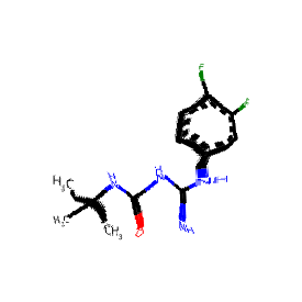 CC(C)(C)NC(=O)NC(=N)Nc1ccc(F)c(F)c1